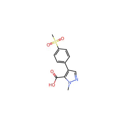 Cn1ncc(-c2ccc(S(C)(=O)=O)cc2)c1C(=O)O